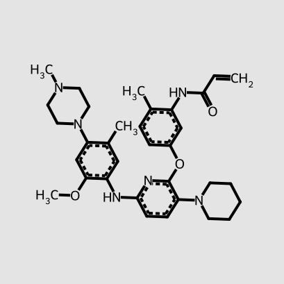 C=CC(=O)Nc1cc(Oc2nc(Nc3cc(C)c(N4CCN(C)CC4)cc3OC)ccc2N2CCCCC2)ccc1C